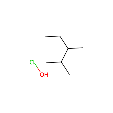 CCC(C)C(C)C.OCl